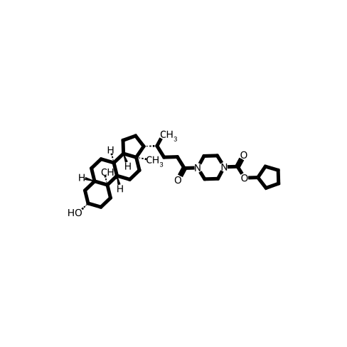 CC(CCC(=O)N1CCN(C(=O)OC2CCCC2)CC1)[C@H]1CC[C@H]2[C@@H]3CC[C@H]4C[C@@H](O)CC[C@]4(C)[C@H]3CC[C@]12C